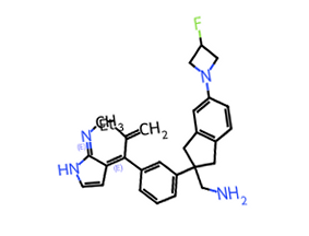 C=C(CC)/C(=C1/C=CN/C1=N/C)c1cccc(C2(CN)Cc3ccc(N4CC(F)C4)cc3C2)c1